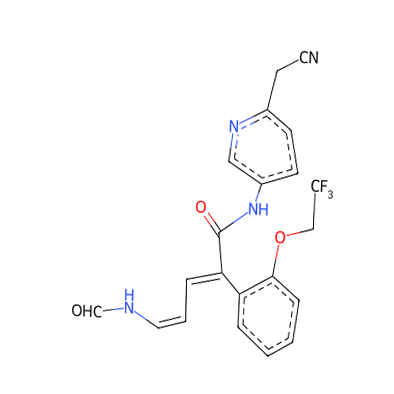 N#CCc1ccc(NC(=O)/C(=C/C=C\NC=O)c2ccccc2OCC(F)(F)F)cn1